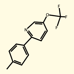 Cc1ccc(-c2ccc(OC(F)(F)F)cn2)cc1